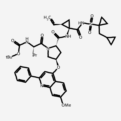 C=C[C@H]1C[C@]1(NC(=O)[C@@H]1C[C@@H](Oc2cc(-c3ccccc3)nc3cc(OC)ccc23)CN1C(=O)[C@@H](NC(=O)OC(C)(C)C)C(C)C)C(=O)NS(=O)(=O)C1(CC2CC2)CC1